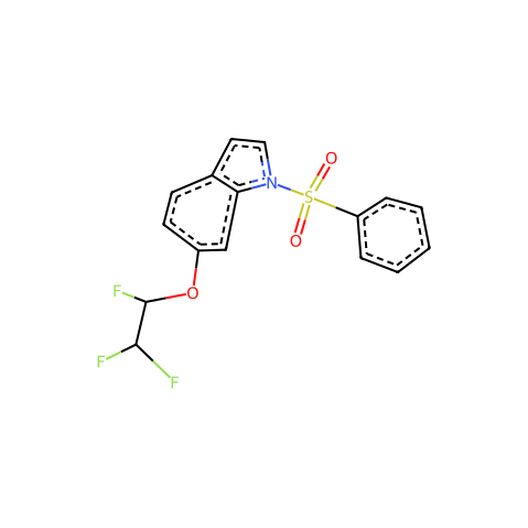 O=S(=O)(c1ccccc1)n1ccc2ccc(OC(F)C(F)F)cc21